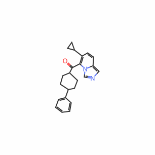 O=C(c1c(C2CC2)ccc2cncn12)C1CCC(c2ccccc2)CC1